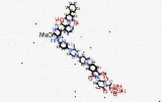 COc1ncc(-c2ccnc(N3CCc4c(sc5c4CCCC5)C3=O)c2[C@H](C)O)cc1Nc1ccc(N2CCN(C3CCN(c4ccc5c(c4)C(=O)N([C@H]4CCC(=O)N(C(C)OP(=O)(O)O)C4=O)C5=O)[C@H](C)C3)C[C@@H]2C)cn1